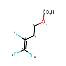 O=C(O)OCCC(F)=C(F)F